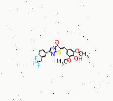 COc1cc(/C=c2\sc3nc(-c4cccc(CC(F)(F)F)c4)cn3c2=O)cc(OC)c1O